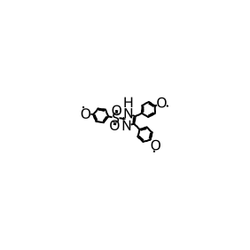 COc1ccc(-c2nc(S(=O)(=O)c3ccc(OC)cc3)[nH]c2-c2ccc(OC)cc2)cc1